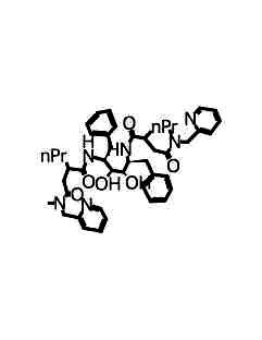 CCCC(CC(=O)N(C)Cc1ccccn1)C(=O)N[C@@H](Cc1ccccc1)[C@H](O)[C@@H](O)[C@H](Cc1ccccc1)NC(=O)C(CCC)CC(=O)N(C)Cc1ccccn1